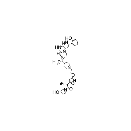 CC(C)[C@@H](C(=O)N1CC[C@@H](O)C1)c1cc(OCCN2CCC(C(C)N3CCN4c5cc(-c6ccccc6O)nnc5NC[C@H]4C3)CC2)no1